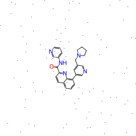 O=C(Nc1cccnc1)c1ccc2cccc(-c3cncc(CN4CCCC4)c3)c2n1